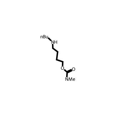 CCCCNCCCCOC(=O)NC